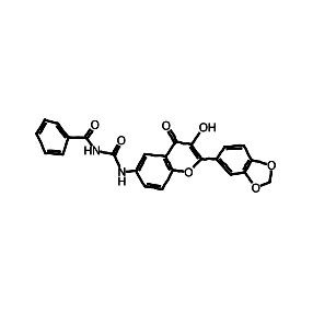 O=C(NC(=O)c1ccccc1)Nc1ccc2oc(-c3ccc4c(c3)OCO4)c(O)c(=O)c2c1